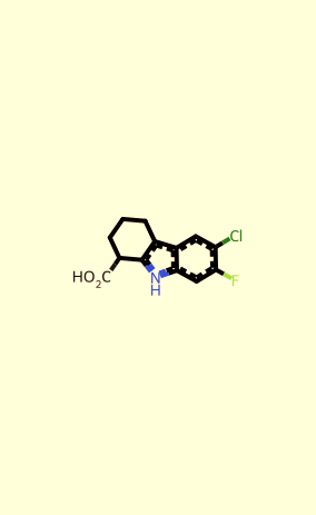 O=C(O)C1CCCc2c1[nH]c1cc(F)c(Cl)cc21